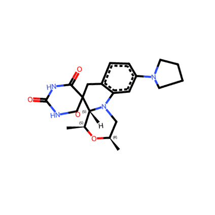 C[C@@H]1CN2c3cc(N4CCCC4)ccc3CC3(C(=O)NC(=O)NC3=O)[C@H]2[C@H](C)O1